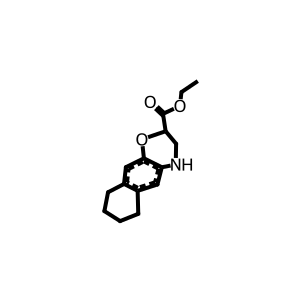 CCOC(=O)C1CNc2cc3c(cc2O1)CCCC3